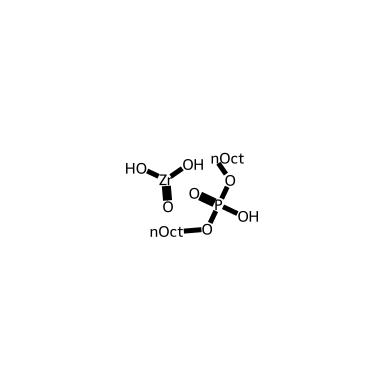 CCCCCCCCOP(=O)(O)OCCCCCCCC.[O]=[Zr]([OH])[OH]